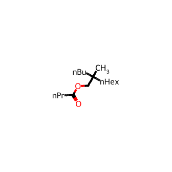 CCCCCCC(C)(CCCC)COC(=O)CCC